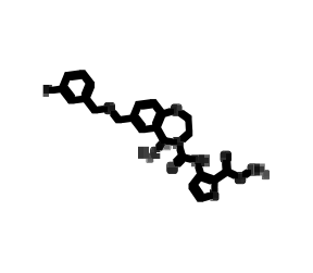 COC(=O)c1sccc1NC(=O)N1CCOc2ccc(COCc3cccc(F)c3)cc2[C@@H]1C